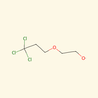 [O]CCOCCC(Cl)(Cl)Cl